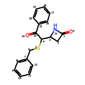 O=C1CC(C(SCc2ccccc2)C(=O)c2ccccc2)N1